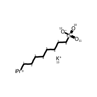 CC(C)CCCCCCCCS(=O)(=O)[O-].[K+]